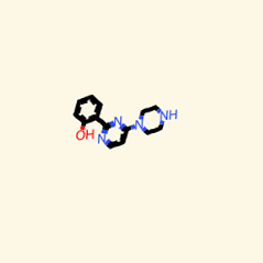 Oc1ccccc1-c1nccc(N2CCNCC2)n1